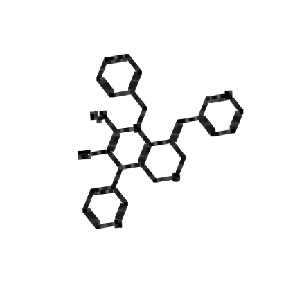 N#CC1=C(N)N(Cc2ccccc2)C2=C(COCC2=Cc2cccnc2)C1c1cccnc1